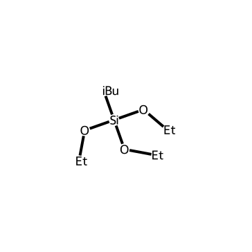 [CH2]CC(C)[Si](OCC)(OCC)OCC